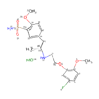 COc1ccc(F)cc1OCCN[C@H](C)Cc1ccc(OC)c(S(N)(=O)=O)c1.Cl